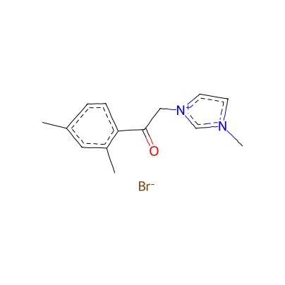 Cc1ccc(C(=O)C[n+]2ccn(C)c2)c(C)c1.[Br-]